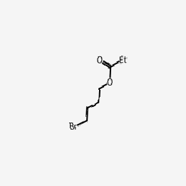 CCC(=O)OCCCCBr